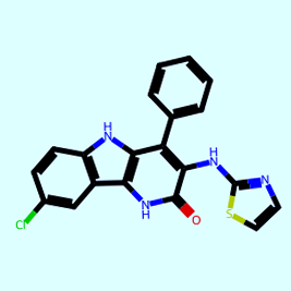 O=c1[nH]c2c([nH]c3ccc(Cl)cc32)c(-c2ccccc2)c1Nc1nccs1